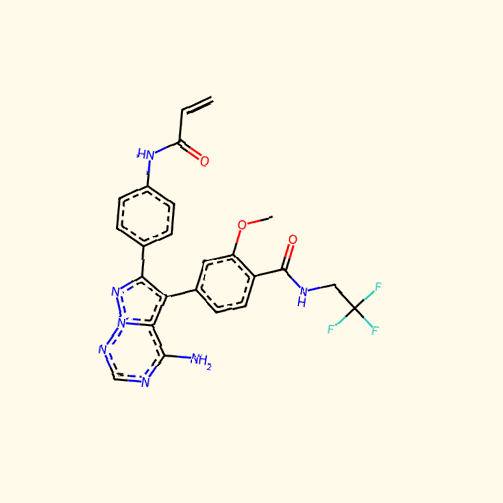 C=CC(=O)Nc1ccc(-c2nn3ncnc(N)c3c2-c2ccc(C(=O)NCC(F)(F)F)c(OC)c2)cc1